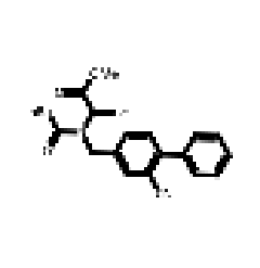 CCCCC(=O)N(Cc1ccc(-c2ccccc2)c(C#N)c1)C(C(=O)OC)C(C)C